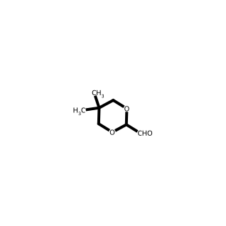 CC1(C)COC(C=O)OC1